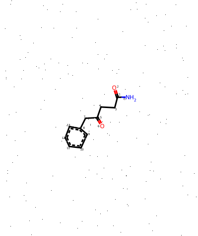 NC(=O)CCC(=O)Cc1ccccc1